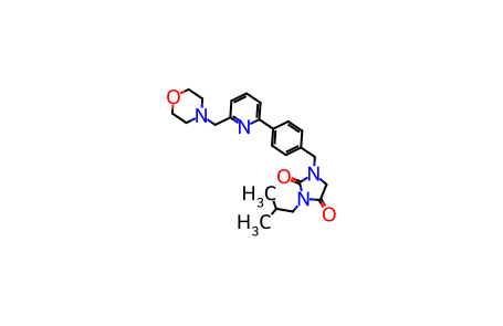 CC(C)CN1C(=O)CN(Cc2ccc(-c3cccc(CN4CCOCC4)n3)cc2)C1=O